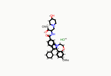 COC(=O)C(CN1CCC(O)CC1)NC(=O)c1ccc2c(C3CCCCC3)c3n(c2c1)CCOc1cc(OC)ccc1-3.Cl